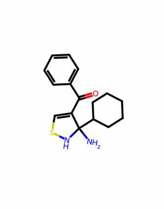 NC1(C2CCCCC2)NSC=C1C(=O)c1ccccc1